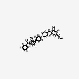 CCOC(=O)[C@H](C)NC(=O)CC1CCN(c2ccc(-n3cnn(C(C)c4ccccc4)c3=O)cc2)CC1